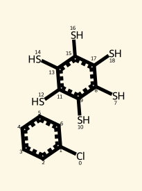 Clc1ccccc1.Sc1c(S)c(S)c(S)c(S)c1S